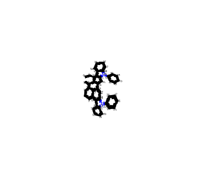 C=Cc1c2c(=C)c3cccc4c3c(cc3c4c4ccccc4n3-c3ccccc3)c2cc2c1c1ccccc1n2-c1ccccc1